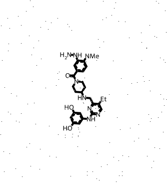 CCc1cnc(Nc2cc(O)cc(O)c2)nc1CNC1CCN(C(=O)c2ccc(NC)c(NN)c2)CC1